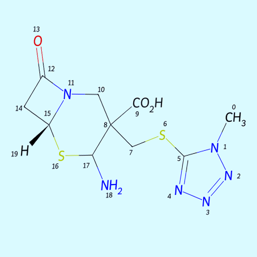 Cn1nnnc1SCC1(C(=O)O)CN2C(=O)C[C@H]2SC1N